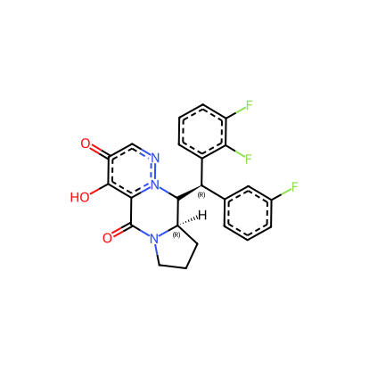 O=C1c2c(O)c(=O)cnn2C([C@H](c2cccc(F)c2)c2cccc(F)c2F)[C@H]2CCCN12